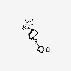 CS(=O)(=O)NC(=O)c1ccc(OCc2cccc(Cl)c2)cc1